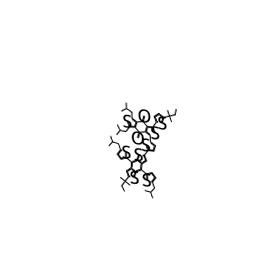 CCC(C)(C)c1ccc(-c2sc(-c3ccc(-c4cc5c(-c6ccc(CC(C)C)s6)c6sc(C(C)(C)CC)cc6c(-c6ccc(CC(C)C)s6)c5s4)s3)c3c2C(=O)c2c(CC(C)C)sc(CC(C)C)c2C3=O)s1